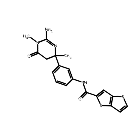 CN1C(=O)CC(C)(c2cccc(NC(=O)c3cc4sccc4s3)c2)N=C1N